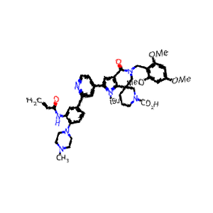 C=CC(=O)Nc1cc(-c2cc(-c3cc4c(n3C(C)(C)C)C3(CCCN(C(=O)O)C3)CN(Cc3c(OC)cc(OC)cc3OC)C4=O)ccn2)ccc1N1CCN(C)CC1